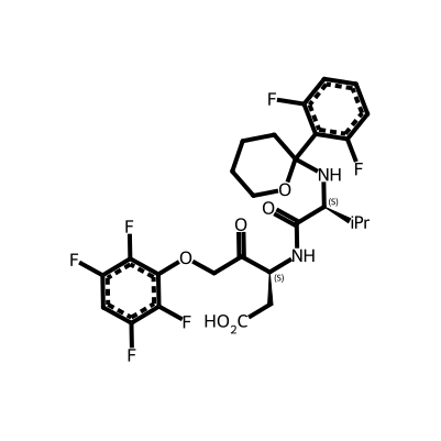 CC(C)[C@H](NC1(c2c(F)cccc2F)CCCCO1)C(=O)N[C@@H](CC(=O)O)C(=O)COc1c(F)c(F)cc(F)c1F